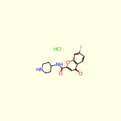 Cl.O=C(NC1CCNCC1)c1cc(=O)c2ccc(F)cc2o1